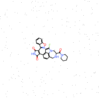 O=C1NC(=O)C(c2ccc3c4c2cc(F)n4CC(C(=O)N2CCCCC2)NC3)=C1c1noc2ccccc12